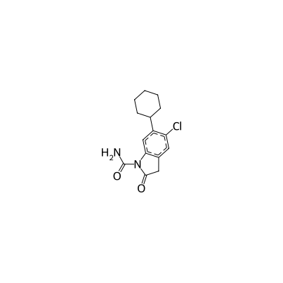 NC(=O)N1C(=O)Cc2cc(Cl)c(C3CCCCC3)cc21